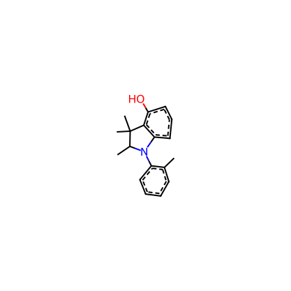 Cc1ccccc1N1c2cccc(O)c2C(C)(C)C1C